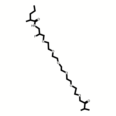 CCCC(C)C(=O)NCC(F)COCCOCCOCCOCCOCCOCC(=O)C(C)C